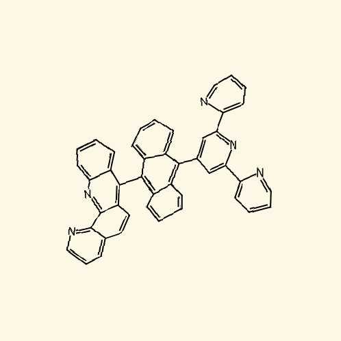 c1ccc(-c2cc(-c3c4ccccc4c(-c4c5ccccc5nc5c4ccc4cccnc45)c4ccccc34)cc(-c3ccccn3)n2)nc1